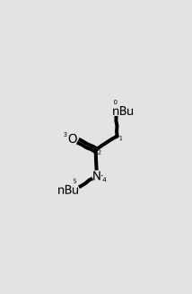 CCCCCC(=O)[N]CCCC